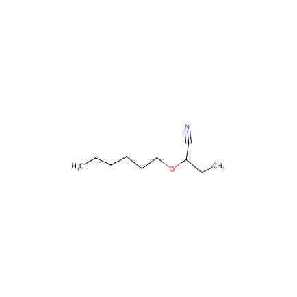 CCCCCCOC(C#N)CC